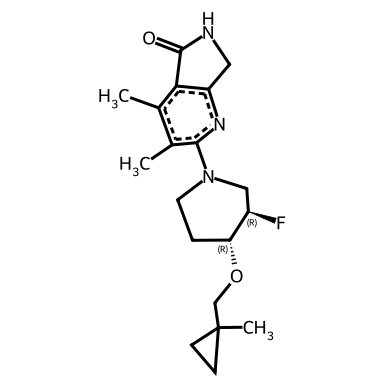 Cc1c(N2CC[C@@H](OCC3(C)CC3)[C@H](F)C2)nc2c(c1C)C(=O)NC2